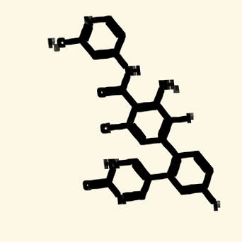 Nc1c(F)c(-c2ccc(F)cc2-c2cnc(=O)[nH]c2)cc(Cl)c1C(=O)Nc1ccnc(C(F)(F)F)c1